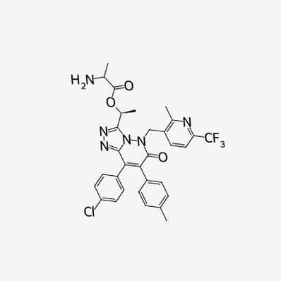 Cc1ccc(-c2c(-c3ccc(Cl)cc3)c3nnc([C@H](C)OC(=O)C(C)N)n3n(Cc3ccc(C(F)(F)F)nc3C)c2=O)cc1